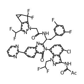 CC(=O)C(=O)Nc1nn(CC(F)F)c2c(-n3c([C@H](Cc4cc(F)cc(F)c4)NC(=O)Cn4nc(C(F)F)c5c4C(F)(F)C4CC54)nc4cc(-c5ncccn5)ccc4c3=O)ccc(Cl)c12